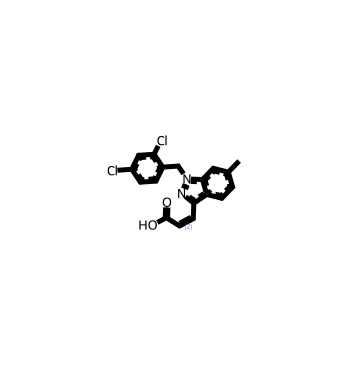 Cc1ccc2c(/C=C\C(=O)O)nn(Cc3ccc(Cl)cc3Cl)c2c1